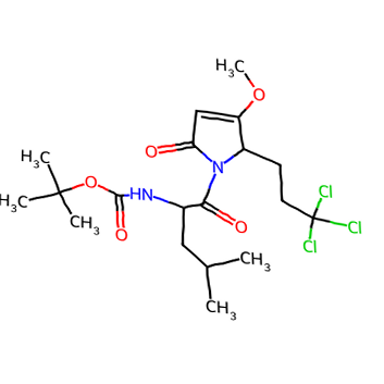 COC1=CC(=O)N(C(=O)C(CC(C)C)NC(=O)OC(C)(C)C)C1CCC(Cl)(Cl)Cl